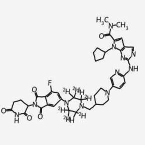 [2H]C1([2H])N(CC2CCN(c3ccc(Nc4ncc5cc(C(=O)N(C)C)n(C6CCCC6)c5n4)nc3)CC2)C([2H])([2H])C([2H])([2H])N(c2cc(F)c3c(c2)C(=O)N(C2CCC(=O)NC2=O)C3=O)C1([2H])[2H]